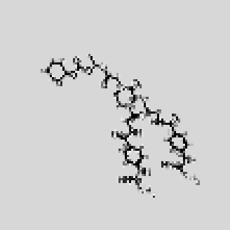 CC(OC(=O)CN1CCN(C(=O)CNC(=O)c2ccc(NC(=N)N)cc2)[C@@H](CCCNC(=O)c2ccc(NC(=N)N)cc2)C1=O)OC(=O)OC1CCCCC1